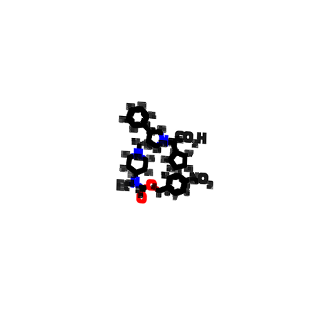 CCN(C(=O)OCc1ccc([N+](=O)[O-])cc1)C1CCN(C[C@H]2CN([C@@H](C(=O)O)C3CCCC3)C[C@@H]2c2ccccc2)CC1